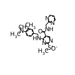 Cc1cc(CNc2nc([S+](C)[O-])ncc2C(=O)NCc2ncccn2)ccc1N(C)C